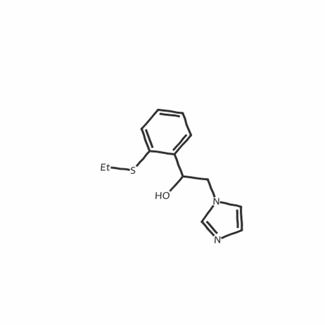 CCSc1ccccc1C(O)Cn1ccnc1